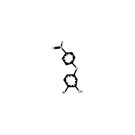 O=[N+]([O-])c1ccc(Oc2ccc(Br)c(O)c2)cc1